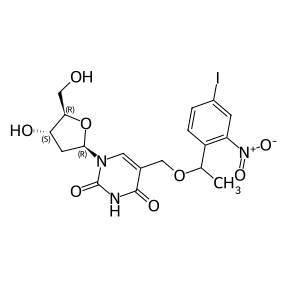 CC(OCc1cn([C@H]2C[C@H](O)[C@@H](CO)O2)c(=O)[nH]c1=O)c1ccc(I)cc1[N+](=O)[O-]